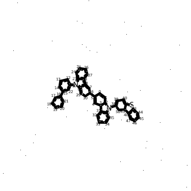 C1=CC2C(C=C1C1C=c3c(n(-c4cccc(-c5ccccc5)c4)c4ccccc34)=CC1)c1ccccc1N2C1=CC=C2Sc3ccccc3C2C1